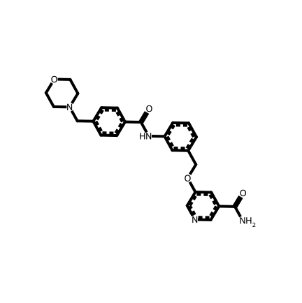 NC(=O)c1cncc(OCc2cccc(NC(=O)c3ccc(CN4CCOCC4)cc3)c2)c1